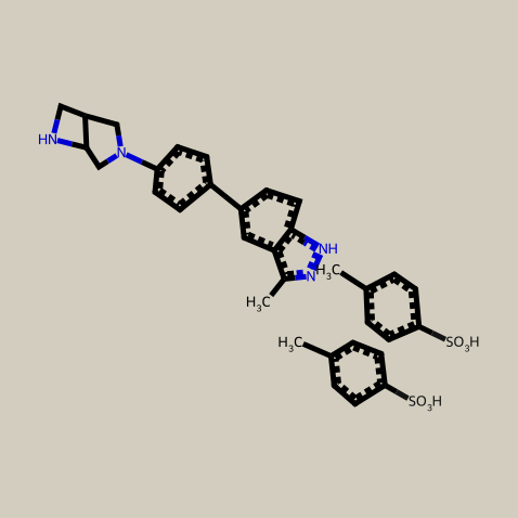 Cc1ccc(S(=O)(=O)O)cc1.Cc1ccc(S(=O)(=O)O)cc1.Cc1n[nH]c2ccc(-c3ccc(N4CC5CNC5C4)cc3)cc12